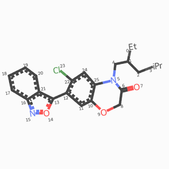 CCC(CC(C)C)CN1C(=O)COc2cc(-c3onc4ccccc34)c(Cl)cc21